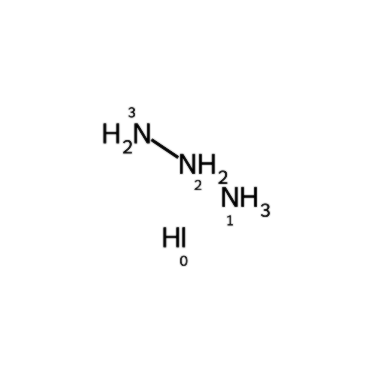 I.N.NN